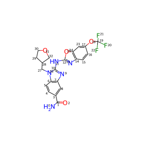 NC(=O)c1ccc2c(c1)nc(Nc1nc3ccc(OC(F)(F)F)cc3o1)n2CC1CCOC1